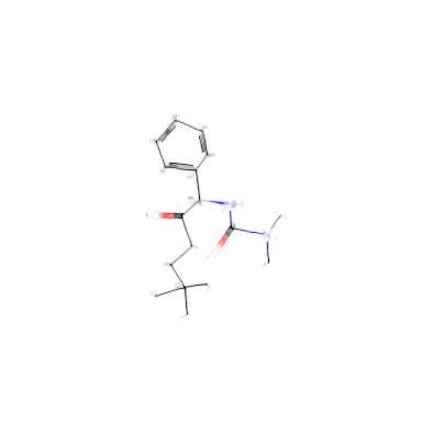 CN(C)C(=O)N[C@@H](C(=O)CCC(C)(C)C)c1ccccc1